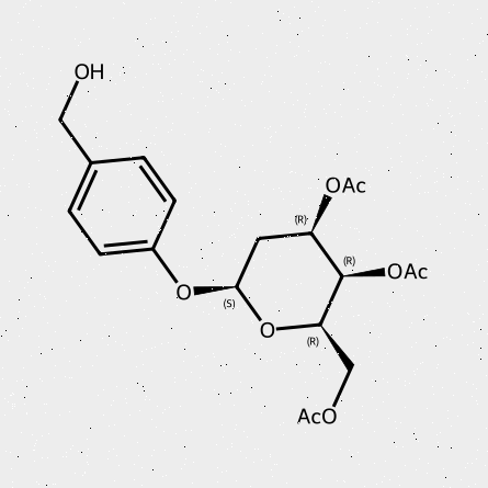 CC(=O)OC[C@H]1O[C@@H](Oc2ccc(CO)cc2)C[C@@H](OC(C)=O)[C@H]1OC(C)=O